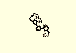 C#C/C=C\c1cc(-c2cccc(-c3cc(CC(C)(C)C)ccn3)c2)[nH]c1C